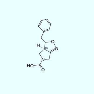 O=C(O)N1CC2=NOC(Cc3ccccc3)[C@@H]2C1